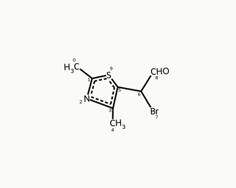 Cc1nc(C)c(C(Br)C=O)s1